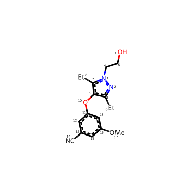 CCc1nn(CCO)c(CC)c1Oc1cc(C#N)cc(OC)c1